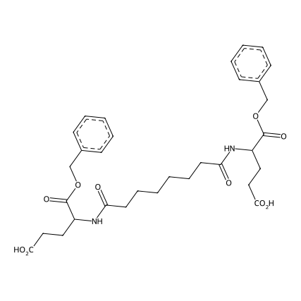 O=C(O)CCC(NC(=O)CCCCCCC(=O)NC(CCC(=O)O)C(=O)OCc1ccccc1)C(=O)OCc1ccccc1